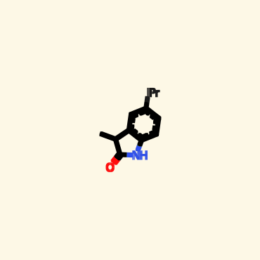 CC(C)c1ccc2c(c1)C(C)C(=O)N2